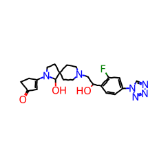 O=C1C=C(N2CCC3(CCN(CC(O)c4ccc(-n5cnnn5)cc4F)CC3)C2O)CC1